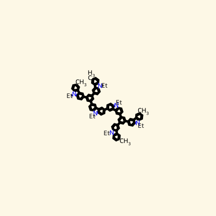 CCN1c2ccc(C)cc2C2C=C(c3cc(-c4ccc5c(c4)c4cc(C)ccc4n5CC)cc(-c4ccc5c(c4)c4cc(-c6ccc7c(c6)c6cc(-c8cc(-c9ccc%10c(c9)c9cc(C)ccc9n%10CC)cc(-c9ccc%10c(c9)c9cc(C)ccc9n%10CC)c8)ccc6n7CC)ccc4n5CC)c3)C=CC21